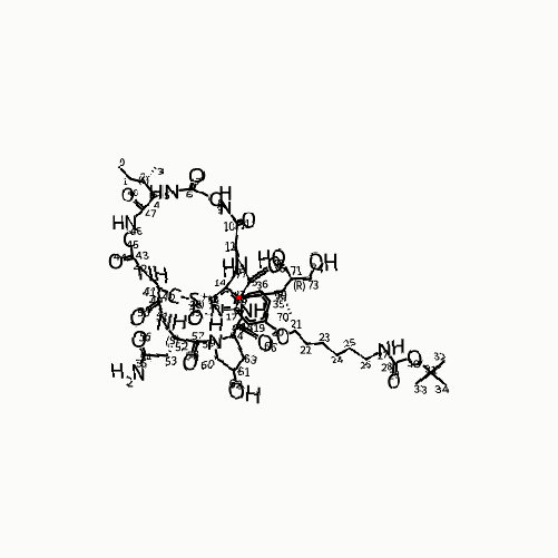 CC[C@H](C)[C@@H]1NC(=O)CNC(=O)C2Cc3c([nH]c4cc(OCCCCCCNC(=O)OC(C)(C)C)ccc34)[S@+]([O-])CC(NC(=O)CNC1=O)C(=O)N[C@@H](CC(N)=O)C(=O)N1CC(O)CC1C(=O)N[C@@H]([C@@H](C)[C@@H](O)CO)C(=O)N2